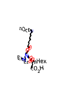 CCCCCCCC/C=C\CCCCCCCC(=O)OCCN(CCOC(=O)OC(CCCCCC)CCCC(=O)O)CCN(CC)CC